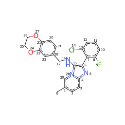 Cc1ccc2nc(-c3c(F)cccc3Cl)c(NCc3ccc4c(c3)OCCO4)n2c1